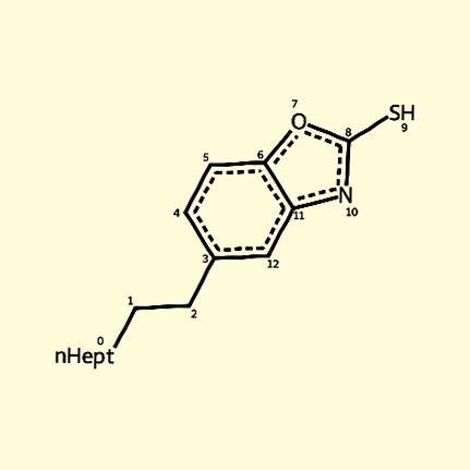 CCCCCCCCCc1ccc2oc(S)nc2c1